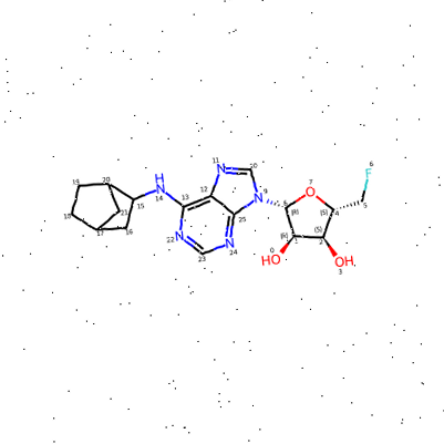 O[C@@H]1[C@H](O)[C@@H](CF)O[C@H]1n1cnc2c(NC3CC4CCC3C4)ncnc21